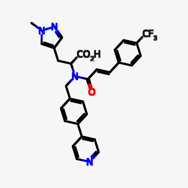 Cn1cc(CC(C(=O)O)N(Cc2ccc(-c3ccncc3)cc2)C(=O)C=Cc2ccc(C(F)(F)F)cc2)cn1